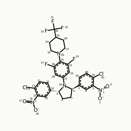 O=[N+]([O-])c1cc([C@H]2CC[C@H](c3ccc(Cl)c([N+](=O)[O-])c3)N2c2cc(F)c(N3CCC(C(F)(F)F)CC3)c(F)c2)ccc1Cl